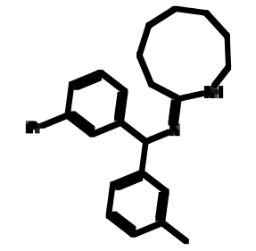 Cc1cccc(C(N=C2CCCCCCCN2)c2cccc(C(C)C)c2)c1